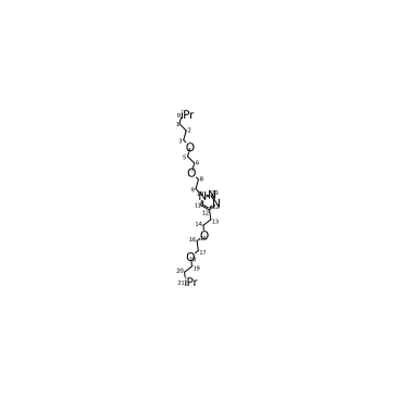 CC(C)CCCOCCOCCn1cc(CCOCCOCCC(C)C)nn1